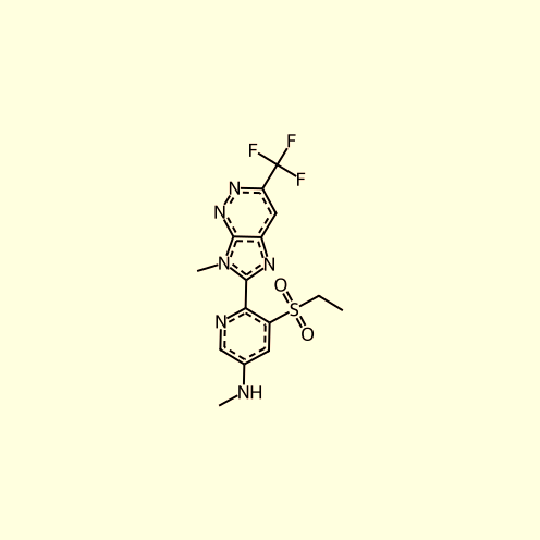 CCS(=O)(=O)c1cc(NC)cnc1-c1nc2cc(C(F)(F)F)nnc2n1C